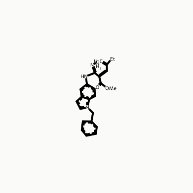 C=C(/C=C(C(=O)OC)\C(=N/C)Nc1ccc2c(ccn2Cc2ccccc2)c1)CC